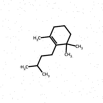 [CH2]C(C)CCC1=C(C)CCCC1(C)C